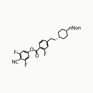 CCCCCCCCC[C@H]1CC[C@H](CCc2ccc(C(=O)Oc3cc(F)c(C#N)c(F)c3)c(F)c2)CC1